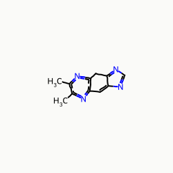 Cc1nc2c(nc1C)CC1=NC=NC1=C2